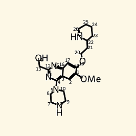 COc1cc2c(N3CCNCC3)nc(CO)nc2cc1OCCC1CCCCN1